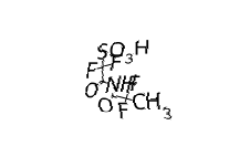 CC(F)(F)C(=O)NC(=O)C(F)(F)S(=O)(=O)O